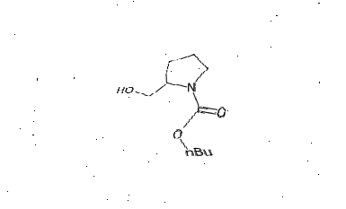 CCCCOC(=O)N1CCCC1CO